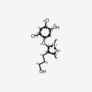 Cc1nn(C)c(Oc2cc(O)c(Cl)cc2Cl)c1CCCO